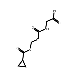 O=C(O)CNC(=O)OCOC(=O)C1CC1